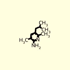 Cc1cc(CC(C)C)c(C)nc1N